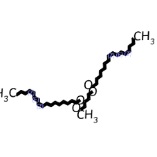 CCCC\C=C/C=C/C=C\CCCCCCCC(=O)OCCC(CCC)OC(=O)CCCCCCC\C=C/C=C/C=C\CCCC